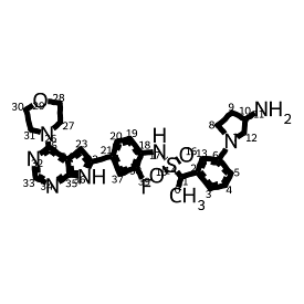 CC(c1cccc(N2CCC(N)C2)c1)S(=O)(=O)Nc1ccc(-c2cc3c(N4CCOCC4)ncnc3[nH]2)cc1F